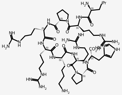 CC(C)C[C@H](N)C(=O)N[C@@H](CCCNC(=N)N)C(=O)N1CCC[C@H]1C(=O)N[C@@H](CCCNC(=N)N)C(=O)N[C@@H](CCCNC(=N)N)C(=O)N[C@@H](CCCCN)C(=O)N[C@@H](CCCNC(=N)N)C(=O)N1CCC[C@H]1C(=O)N[C@@H](Cc1c[nH]cn1)C(=O)O